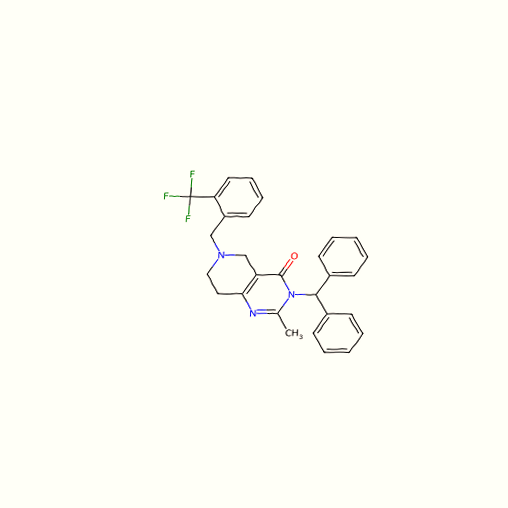 Cc1nc2c(c(=O)n1C(c1ccccc1)c1ccccc1)CN(Cc1ccccc1C(F)(F)F)CC2